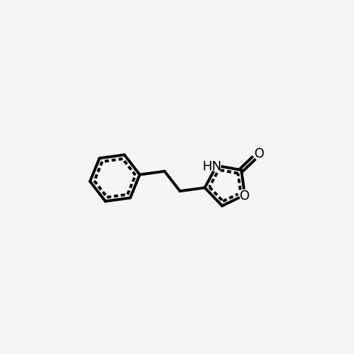 O=c1[nH]c(CCc2ccccc2)co1